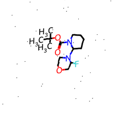 CC(C)(C)OC(=O)N1CCCCC1N1CCOCC1F